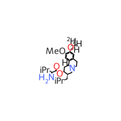 [2H]C([2H])([2H])Oc1cc2c(cc1OC)[C@H]1C[C@H](OC(=O)C(N)C(C)C)[C@H](CC(C)C)CN1CC2